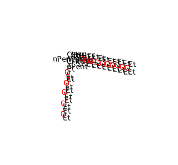 CCCCCC.CCCCCC.CCCCCC.CCCCCC.CCCCCC.CCOCC.CCOCC.CCOCC.CCOCC.CCOCC.CCOCC.CCOCC.CCOCC.CCOCC.CCOCC.CCOCC.CCOCC.CCOCC.CCOCC.CCOCC